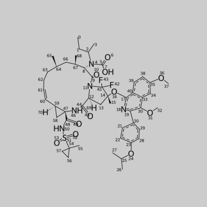 CCC(C)N(C(=O)O)[C@@H]1C(=O)N2[C@@H](C[C@@](C)(Oc3nc(-c4ccc(OC(C)C)cc4)c(OC)c4cc(OC)ccc34)C2(F)F)C(=O)N[C@]2(C(=O)NS(=O)(=O)C3(C)CC3)C[C@H]2/C=C\CC[C@@H](C)C[C@H]1C